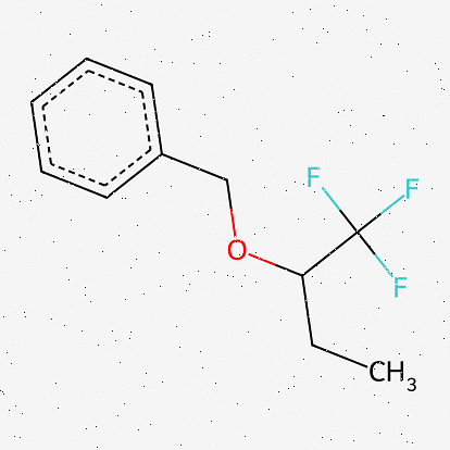 CCC(OCc1ccccc1)C(F)(F)F